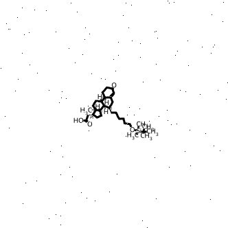 CC(C)(C)[Si](C)(C)OCCCCCC[C@@H]1CC2=CC(=O)CC[C@@H]2[C@H]2CC[C@]3(C)[C@@H](CC(=O)O)CC[C@H]3[C@H]12